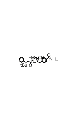 CN(C)[C@H](CNC(=O)C[C@H](c1ccccc1)C(C)(C)C)Cc1ccc(C(N)=O)cc1